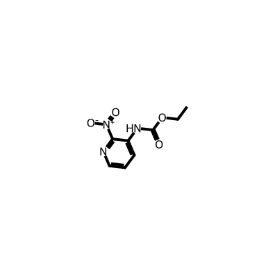 CCOC(=O)Nc1cccnc1[N+](=O)[O-]